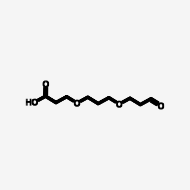 O=CCCOCCCOCCC(=O)O